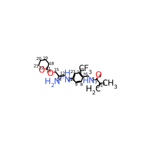 C=C(C)C(=O)NCc1ccc(N/C=C(\N)COC2CCCCO2)cc1C(F)(F)F